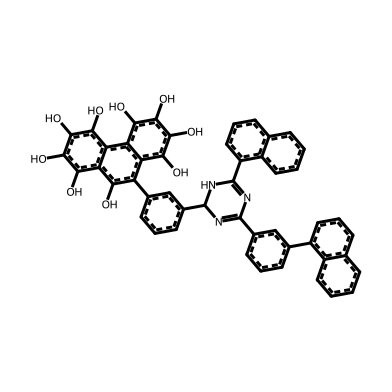 Oc1c(O)c(O)c2c(c1O)c(O)c(-c1cccc(C3N=C(c4cccc(-c5cccc6ccccc56)c4)N=C(c4cccc5ccccc45)N3)c1)c1c(O)c(O)c(O)c(O)c12